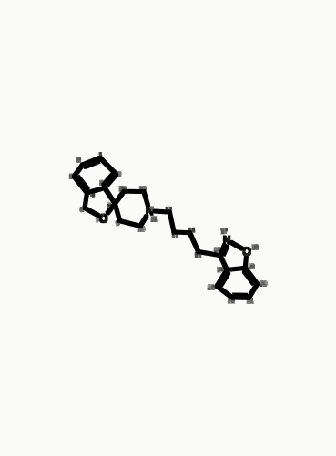 c1ccc2c(c1)COC21CCN(CCCCc2noc3ccccc23)CC1